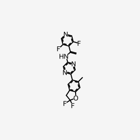 C=C(Nc1cnc(-c2cc3c(cc2C)OC(F)(F)C3)cn1)c1c(F)cncc1F